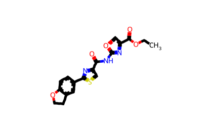 CCOC(=O)c1coc(NC(=O)c2csc(-c3ccc4c(c3)CCO4)n2)n1